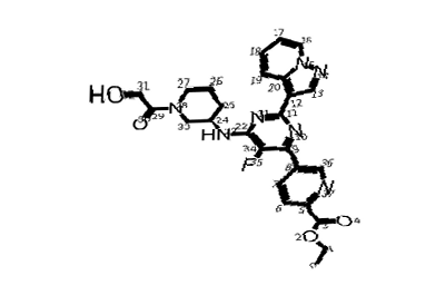 CCOC(=O)c1ccc(-c2nc(-c3cnn4ccccc34)nc(N[C@@H]3CCCN(C(=O)CO)C3)c2F)cn1